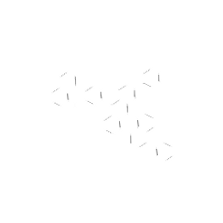 c1ccc(-c2ccc3c(-c4ccc5c(c4)Oc4cccc6cccc-5c46)c4ccccc4c(-c4ccc5c6c(cccc46)-c4ccccc4O5)c3c2)cc1